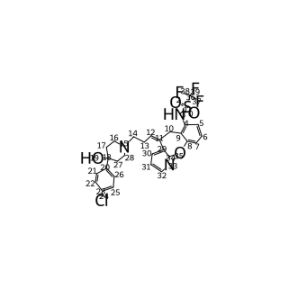 O=S(=O)(Nc1cccc2c1C/C(=C/CCN1CCC(O)(c3ccc(Cl)cc3)CC1)c1cccnc1O2)C(F)(F)F